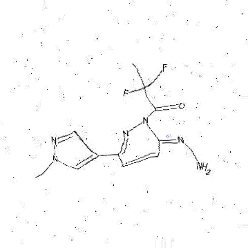 Cn1cc(-c2cc/c(=N\N)n(C(=O)C(C)(F)F)n2)cn1